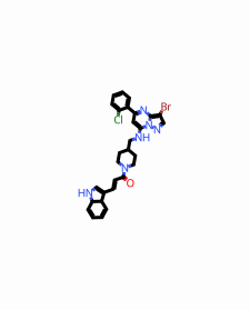 O=C(/C=C/C1=CNC2C=CC=CC12)N1CCC(CNc2cc(-c3ccccc3Cl)nc3c(Br)cnn23)CC1